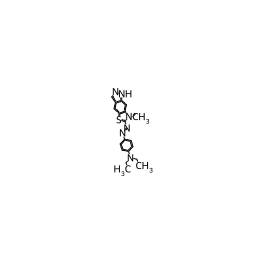 CCN(CC)c1ccc(/N=N/c2sc3cc4cn[nH]c4cc3[n+]2C)cc1